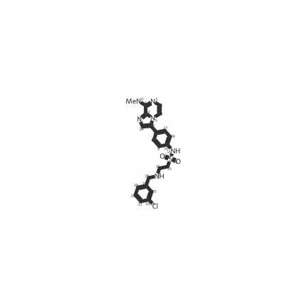 CNc1nccn2c(-c3ccc(NS(=O)(=O)CCNCc4cccc(Cl)c4)cc3)cnc12